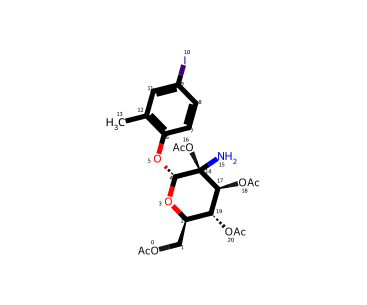 CC(=O)OC[C@H]1O[C@H](Oc2ccc(I)cc2C)[C@@](N)(OC(C)=O)[C@@H](OC(C)=O)[C@@H]1OC(C)=O